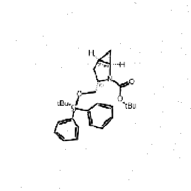 CC(C)(C)OC(=O)N1[C@H](CO[Si](c2ccccc2)(c2ccccc2)C(C)(C)C)C[C@H]2C[C@H]21